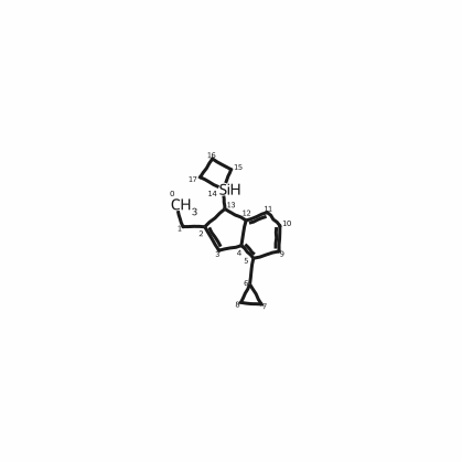 CCC1=Cc2c(C3CC3)cccc2C1[SiH]1CCC1